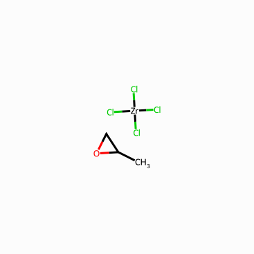 CC1CO1.[Cl][Zr]([Cl])([Cl])[Cl]